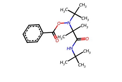 CC(C)(C)NC(=O)C(C)(C)N(OC(=O)c1ccccc1)C(C)(C)C